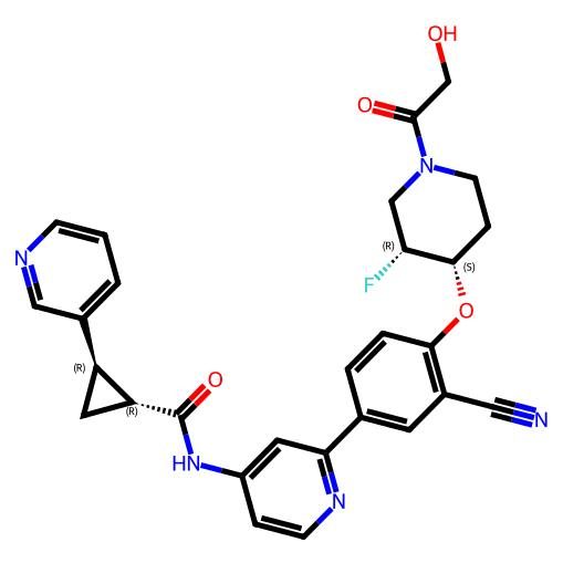 N#Cc1cc(-c2cc(NC(=O)[C@@H]3C[C@H]3c3cccnc3)ccn2)ccc1O[C@H]1CCN(C(=O)CO)C[C@H]1F